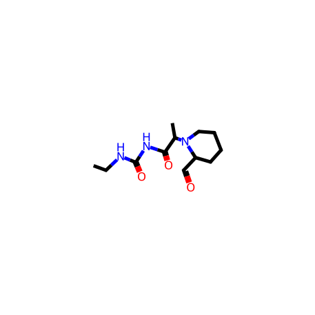 CCNC(=O)NC(=O)C(C)N1CCCCC1C=O